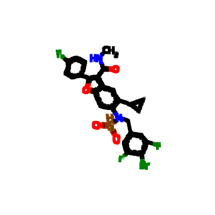 CNC(=O)c1c(-c2ccc(F)cc2)oc2cc(N(Cc3cc(F)c(Br)c(F)c3)[SH](=O)=O)c(C3CC3)cc12